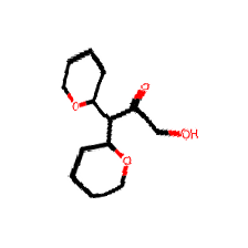 O=C(CO)C(C1CCCCO1)C1CCCCO1